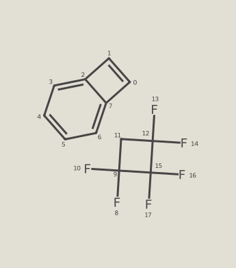 C1=Cc2ccccc21.FC1(F)CC(F)(F)C1(F)F